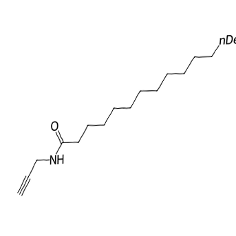 C#CCNC(=O)CCCCCCCCCCCCCCCCCCCCC